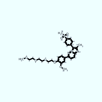 COCCOCCOCCOc1ccc(-c2ccc3nc(C)c(-c4ccc(S(C)(=O)=O)cc4)n3n2)cc1OC